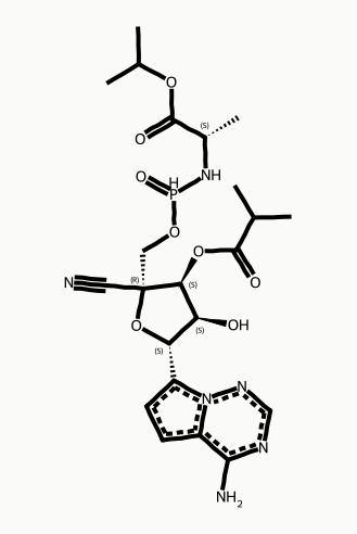 CC(C)OC(=O)[C@H](C)N[PH](=O)OC[C@@]1(C#N)O[C@@H](c2ccc3c(N)ncnn23)[C@H](O)[C@@H]1OC(=O)C(C)C